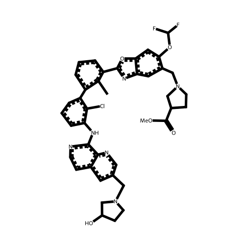 COC(=O)C1CCN(Cc2cc3nc(-c4cccc(-c5cccc(Nc6nccc7cc(CN8CCC(O)C8)cnc67)c5Cl)c4C)oc3cc2OC(F)F)C1